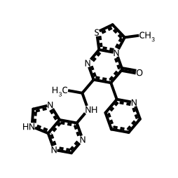 Cc1csc2nc(C(C)Nc3ncnc4[nH]cnc34)c(-c3ccccn3)c(=O)n12